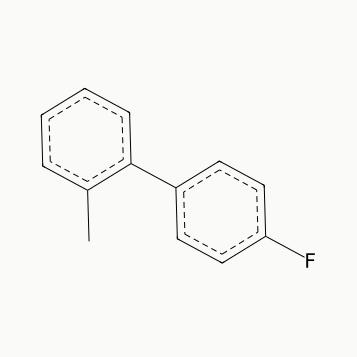 Cc1ccccc1-c1ccc(F)cc1